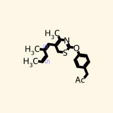 C/C=C\C(C)=C/C1=C(C)N=C(Oc2ccc(CC(C)=O)cc2)SC1